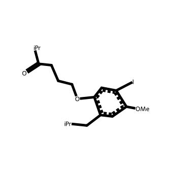 COc1cc(CC(C)C)c(OCCCC(=O)C(C)C)cc1I